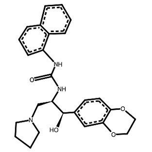 O=C(Nc1cccc2ccccc12)N[C@H](CN1CCCC1)[C@H](O)c1ccc2c(c1)OCCO2